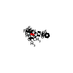 CC1(C)C(=O)NCCN1C[C@H]1CN(S(=O)(=O)C2=CC=CCC2=S)CCN1c1ncc(C(O)(C(F)(F)F)C(F)(F)F)cn1